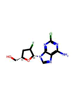 Nc1nc(Cl)nc2c1ncn2[C@@H]1O[C@H](CO)CC1F